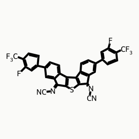 N#C/N=c1/c2cc(-c3ccc(C(F)(F)F)c(F)c3)ccc2c2c1sc1/c(=N/C#N)c3cc(-c4ccc(C(F)(F)F)c(F)c4)ccc3c12